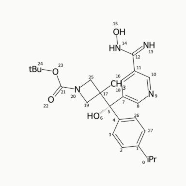 CC(C)c1ccc([C@](O)(c2cncc(C(=N)NO)c2)C2(C)CN(C(=O)OC(C)(C)C)C2)cc1